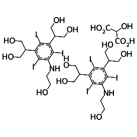 O=C(O)C(O)C(=O)O.OCCNc1c(I)c(C(CO)CO)c(I)c(C(CO)CO)c1I.OCCNc1c(I)c(C(CO)CO)c(I)c(C(CO)CO)c1I